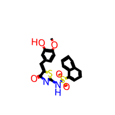 COc1ccc(C=C2SC(NS(=O)(=O)c3cccc4ccccc34)=NC2=O)cc1O